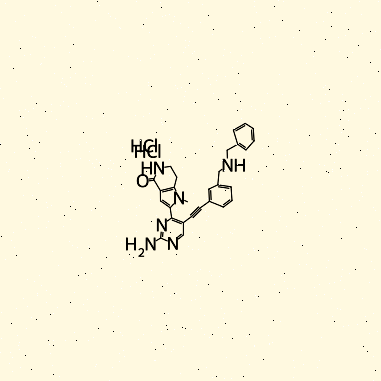 Cl.Cl.Cn1c(-c2nc(N)ncc2C#Cc2cccc(CNCc3ccccc3)c2)cc2c1CCNC2=O